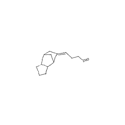 O=CCCC=C1CC2CC1C1CCCC21